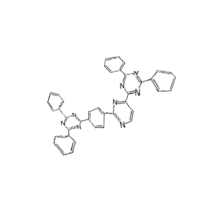 c1ccc(-c2nc(-c3ccccc3)nc(-c3ccc(-c4nccc(-c5nc(-c6ccccc6)nc(-c6ccccc6)n5)n4)cc3)n2)cc1